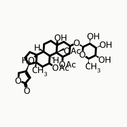 CC(=O)OC[C@]12C(OC(C)=O)CC(O[C@@H]3O[C@@H](C)[C@H](O)[C@@H](O)[C@H]3O)CC1(O)CC[C@@H]1[C@@H]2C(OC(C)=O)C[C@]2(C)[C@@H](C3=CC(=O)OC3)CCC12O